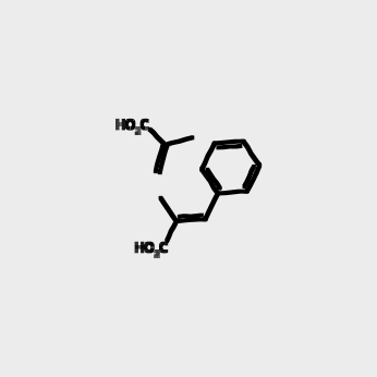 C=C(C)C(=O)O.CC(=Cc1ccccc1)C(=O)O